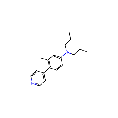 CCCN(CCC)c1ccc(-c2ccncc2)c(C)c1